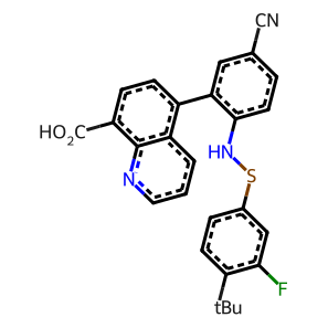 CC(C)(C)c1ccc(SNc2ccc(C#N)cc2-c2ccc(C(=O)O)c3ncccc23)cc1F